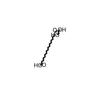 C1CO1.CCCCCCCCCCCCCCCCCC(=O)O.OCCO